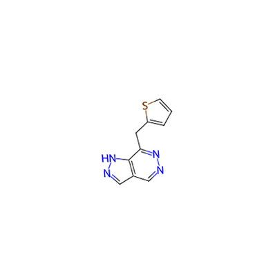 c1csc(Cc2nncc3cn[nH]c23)c1